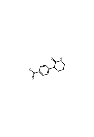 O=C1NCCSC1c1ccc([N+](=O)[O-])cc1